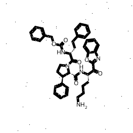 NCCCC[C@H](NC(=O)[C@@H]1[C@@H](c2ccccc2)CCN1C(=O)[C@@H](CCc1ccccc1)NC(=O)OCc1ccccc1)C(=O)c1nc2ccccc2o1